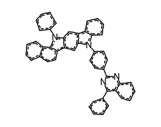 c1ccc(-c2nc(-c3ccc(-n4c5ccccc5c5cc6c(cc54)c4ccc5ccccc5c4n6-c4ccccc4)cc3)nc3ccccc23)cc1